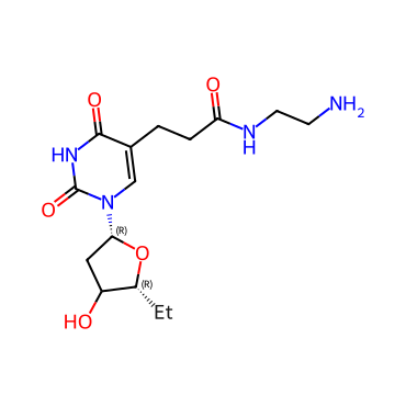 CC[C@H]1O[C@@H](n2cc(CCC(=O)NCCN)c(=O)[nH]c2=O)CC1O